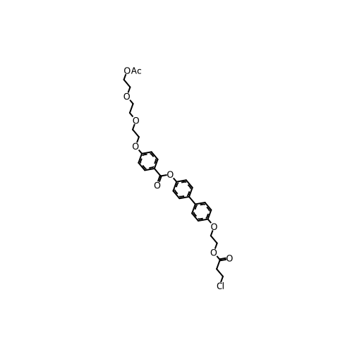 CC(=O)OCCOCCOCCOc1ccc(C(=O)Oc2ccc(-c3ccc(OCCOC(=O)CCCl)cc3)cc2)cc1